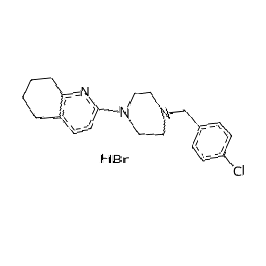 Br.Clc1ccc(CN2CCN(c3ccc4c(n3)CCCC4)CC2)cc1